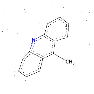 [CH2]c1c2ccccc2nc2ccccc12